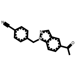 CC(=O)c1ccc2c(cnn2Cc2ccc(C#N)cc2)c1